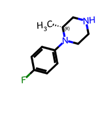 C[C@@H]1CNCCN1c1ccc(F)cc1